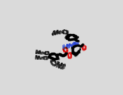 COC1=CC(/C=C/C(=O)O[C@@H]2CC[C@@]3(CO3)c3c2[nH]n3Cc2ccc(OC)cc2)CC(OC)=C1OC